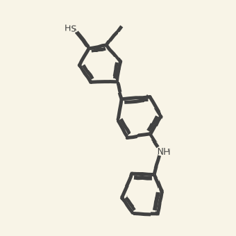 Cc1cc(-c2ccc(Nc3ccccc3)cc2)ccc1S